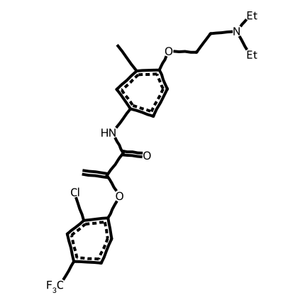 C=C(Oc1ccc(C(F)(F)F)cc1Cl)C(=O)Nc1ccc(OCCN(CC)CC)c(C)c1